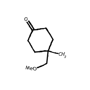 COCC1(C)CCC(=O)CC1